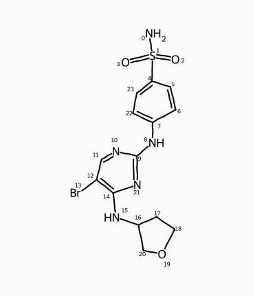 NS(=O)(=O)c1ccc(Nc2ncc(Br)c(NC3CCOC3)n2)cc1